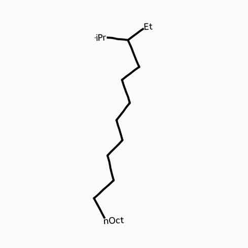 CCCCCCCCCCCCCCCCC(CC)[C](C)C